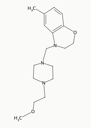 COCCN1CCN(CN2CCOc3ccc(C)cc32)CC1